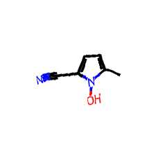 Cc1ccc(C#N)n1O